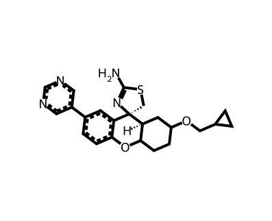 NC1=N[C@]2(CS1)c1cc(-c3cncnc3)ccc1OC1CCC(OCC3CC3)C[C@@H]12